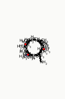 C/C=C/C[C@@H](C)C[C@H]1C(=O)N[C@@H](CC)C(=O)N(C)[C@H](CSCCCCN)C(=O)N(C)[C@@H](CC(C)(C)O)C(=O)N[C@H](C(C)C)C(=O)N(C)[C@H](CC(C)C)C(=O)N[C@H](C)C(=O)N[C@@H](C)C(=O)N(C)[C@@H](CC(C)C)C(=O)N(C)[C@@H](CC(C)C)C(=O)N(C)[C@@H](C(C)C)C(=O)N1C